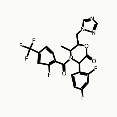 CC1C(Cn2cncn2)OC(=O)C(c2ccc(F)cc2F)N1C(=O)c1ccc(C(F)(F)F)cc1F